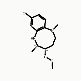 CSO[C@@H]1CCN(C)c2ccc(Cl)nc2N[C@@H]1C